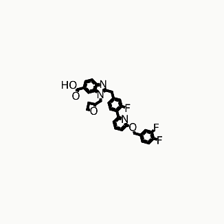 O=C(O)c1ccc2nc(Cc3ccc(-c4cccc(OCc5ccc(F)c(F)c5)n4)c(F)c3)n(CC3CCO3)c2c1